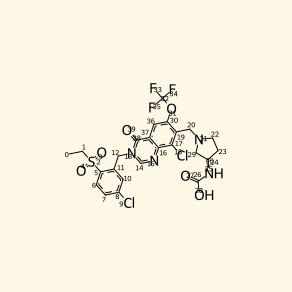 CCS(=O)(=O)c1ccc(Cl)cc1Cn1cnc2c(Cl)c(CN3CC[C@@H](NC(=O)O)C3)c(OC(F)(F)F)cc2c1=O